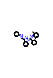 Cc1cccc(C)c1/N=C(\c1ccccc1)n1nc(/C=N/c2ccccc2)c2ccccc21